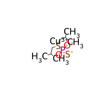 CC(C)CS(CC(C)C)=P([O-])([O-])[S-].[Cu+3]